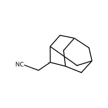 N#CC[C]1C2CC3CC(C2)CC1C3